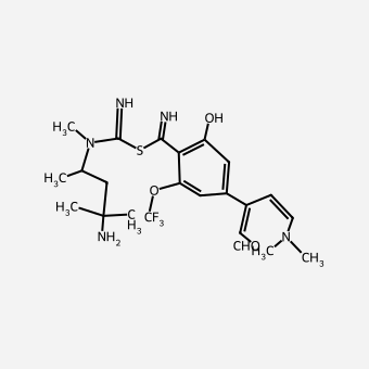 CC(CC(C)(C)N)N(C)C(=N)SC(=N)c1c(O)cc(C(/C=C\N(C)C)=C/C=O)cc1OC(F)(F)F